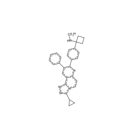 O=C(O)NC1(c2ccc(-c3nc4ccn5c(C6CC6)nnc5c4cc3-c3ccccc3)cc2)CCC1